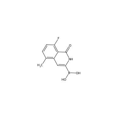 Cc1ccc(F)c2c(=O)[nH]c(B(O)O)cc12